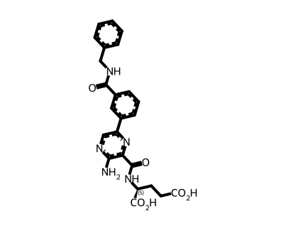 Nc1ncc(-c2cccc(C(=O)NCc3ccccc3)c2)nc1C(=O)N[C@@H](CCC(=O)O)C(=O)O